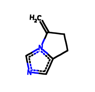 C=C1CCc2cncn21